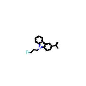 C=C(C)c1ccc2c(c1)c1ccccc1n2CCCF